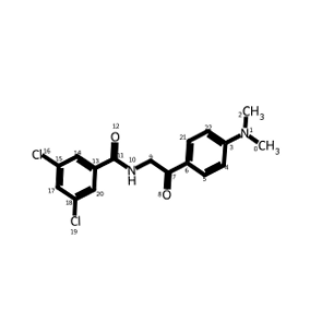 CN(C)c1ccc(C(=O)CNC(=O)c2cc(Cl)cc(Cl)c2)cc1